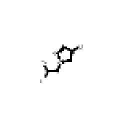 FC(F)CN1[CH]C(Cl)[C]=N1